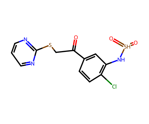 O=C(CSc1ncccn1)c1ccc(Cl)c(N[SH](=O)=O)c1